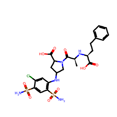 C[C@H](N[C@@H](CCc1ccccc1)C(=O)O)C(=O)N1CC(Nc2cc(Cl)c(S(N)(=O)=O)cc2S(N)(=O)=O)CC1C(=O)O